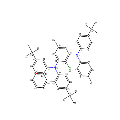 Cc1ccc(N(c2ccc(C(C)(C)C)cc2)c2cc(C)cc(N(c3cccc(C(C)(C)C)c3)c3ccc(C(C)(C)C)cc3-c3ccccc3)c2Cl)cc1